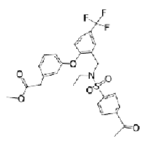 CCN(Cc1cc(C(F)(F)F)ccc1Oc1cccc(CC(=O)OC)c1)S(=O)(=O)c1ccc(C(C)=O)cc1